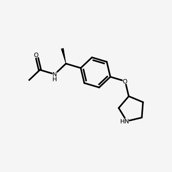 CC(=O)N[C@@H](C)c1ccc(OC2CCNC2)cc1